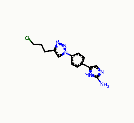 Nc1ncc(-c2ccc(-n3cc(CCCCl)nn3)cc2)[nH]1